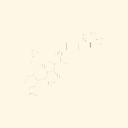 COc1ccc(OCC2CC2)c(-c2ncnc3c(C(=O)N[C@H]4CC[C@@H](NC(=O)C5(O)CC5)CC4)c[nH]c23)c1